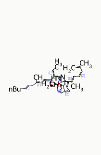 C=C(C)/C=C\C=C(/C)c1n[nH]cc1C1=C\C=C\C(=C\C(=C/C)C(\C)=C\C=C(/C)C/C=C/CCCC)C(=C)/C=C\1